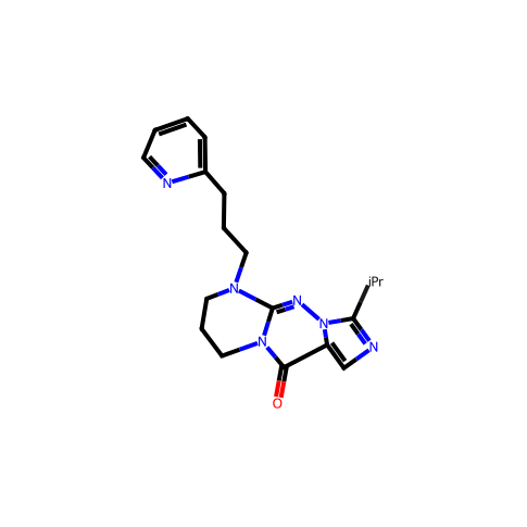 CC(C)c1ncc2c(=O)n3c(nn12)N(CCCc1ccccn1)CCC3